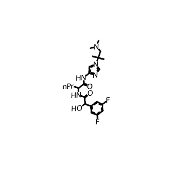 CCCC(NC(=O)C(O)c1cc(F)cc(F)c1)C(=O)Nc1cn(C(C)(C)CN(C)C)cn1